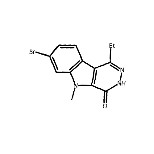 CCc1n[nH]c(=O)c2c1c1ccc(Br)cc1n2C